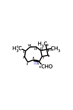 CC1CC/C=C(\C=O)C2CC(C)(C)C2CC1